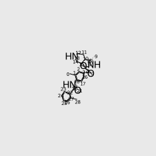 Cc1cc(S(=O)(=O)N[C@@H](C)C2CCNCC2)ccc1NC(=O)c1ccccc1C